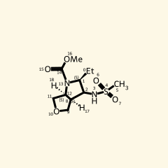 CC[C@H]1C(NS(C)(=O)=O)[C@H]2COC[C@H]2N1C(=O)OC